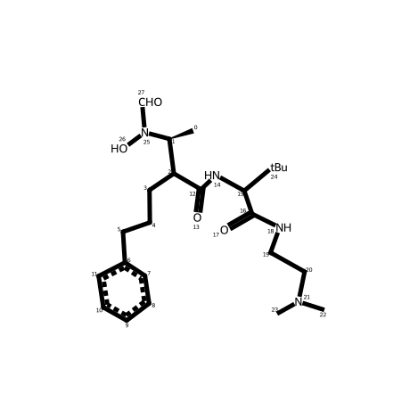 C[C@@H](C(CCCc1ccccc1)C(=O)NC(C(=O)NCCN(C)C)C(C)(C)C)N(O)C=O